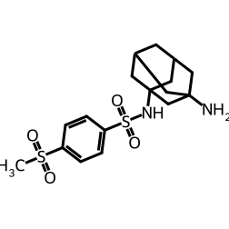 CS(=O)(=O)c1ccc(S(=O)(=O)NC23CC4CC(CC(N)(C4)C2)C3)cc1